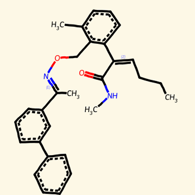 CCC/C=C(\C(=O)NC)c1cccc(C)c1CO/N=C(\C)c1cccc(-c2ccccc2)c1